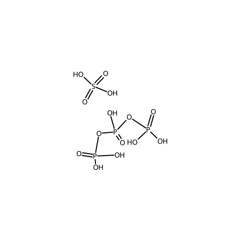 O=P(O)(O)OP(=O)(O)OP(=O)(O)O.O=S(=O)(O)O